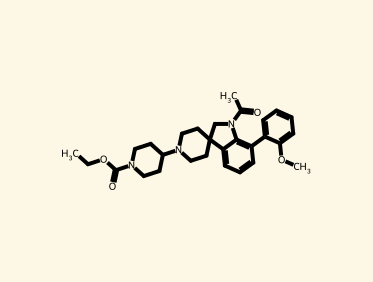 CCOC(=O)N1CCC(N2CCC3(CC2)CN(C(C)=O)c2c(-c4ccccc4OC)cccc23)CC1